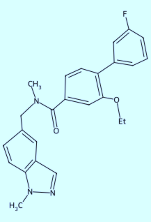 CCOc1cc(C(=O)N(C)Cc2ccc3c(cnn3C)c2)ccc1-c1cccc(F)c1